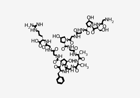 C[C@H](NC(=O)CNC(=O)[C@@H]1C[C@@H](O)CN1C(=O)CNC(=O)CNC(=O)[C@@H]1C[C@@H](O)CN1C(=O)[C@H](CO)NC(=O)CN)C(=O)N[C@@H](C)C(=O)NCC(=O)N[C@@H](Cc1ccccc1)C(=O)N1C[C@H](O)C[C@H]1C(=O)NCC(=O)NCC(=O)N[C@@H](CCCNC(=N)N)C(=O)O